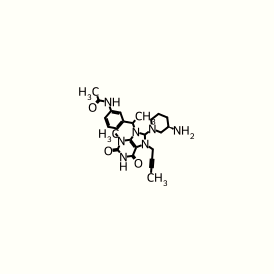 CC#CCN1c2c(n(C)c(=O)[nH]c2=O)N(C(C)c2cccc(NC(C)=O)c2)C1N1CCC[C@@H](N)C1